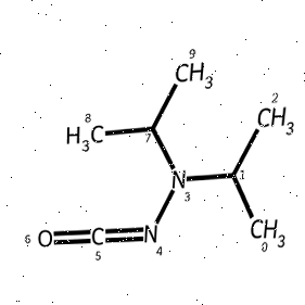 CC(C)N(N=C=O)C(C)C